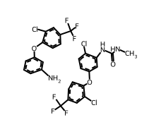 CNC(=O)Nc1cc(Oc2ccc(C(F)(F)F)cc2Cl)ccc1Cl.Nc1cccc(Oc2ccc(C(F)(F)F)cc2Cl)c1